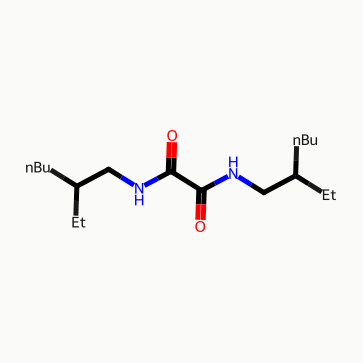 CCCCC(CC)CNC(=O)C(=O)NCC(CC)CCCC